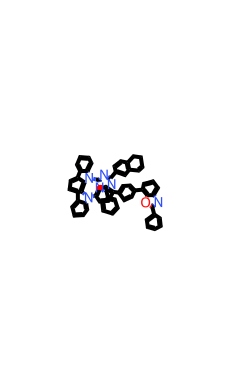 C1=Cc2cc(-c3nc(-c4ccccc4)nc(-n4c5ccccc5c5ccc6c7ccccc7n(-c7ccc(-c8ccc(-c9cccc%10nc(-c%11ccccc%11)oc9%10)cc8)cc7)c6c54)n3)ccc2CC1